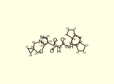 O=C(Nc1c2c(cc3c1CCC3)CCC2)NS(=O)(=O)c1cnn2c1OCC1(CC1)C2